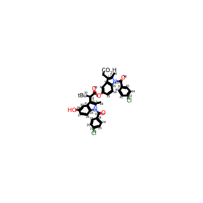 Cc1c(CC(=O)O)c2cc(OC(=O)C(c3c(C)n(C(=O)c4ccc(Cl)cc4)c4ccc(O)cc34)C(C)(C)C)ccc2n1C(=O)c1ccc(Cl)cc1